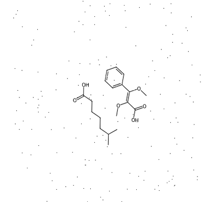 CC(C)CCCCC(=O)O.COC(C(=O)O)=C(OC)c1ccccc1